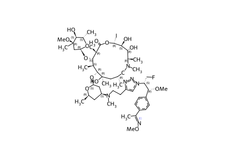 CO/N=C(\C)c1ccc([C@@H](OC)[C@@H](CF)n2cc(CCN(C)[C@@H]3C[C@H](O[C@@H]4[C@@H](C)[C@H](O[C@H]5C[C@@](C)(OC)[C@@H](O)[C@H](C)O5)[C@@H](C)C(=O)O[C@H](I)[C@@H](O)[C@H](O)[C@@H](C)N(C)C[C@H](C)C[C@@]4(C)O)O[C@H](C)C3)nn2)cc1